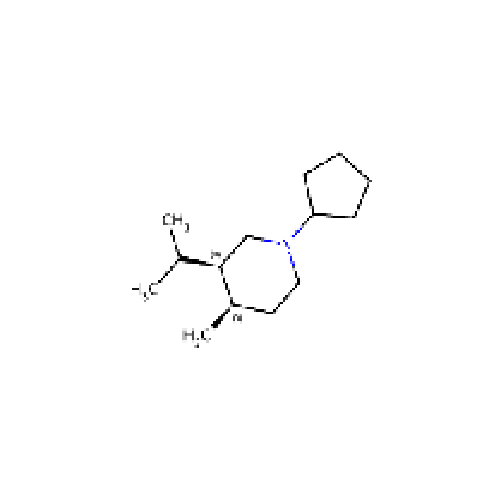 CC(C)[C@H]1CN(C2CCCC2)CC[C@H]1C